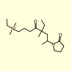 CCC(C)(CC(C)N1CCCC1=O)C(=O)CCC[N+](C)(C)CC